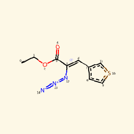 CCOC(=O)/C(=C/c1ccsc1)N=[N+]=[N-]